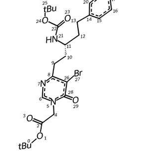 CC(C)(C)OC(=O)Cn1cnc(CC[C@@H](CCc2ccc(F)cc2)NC(=O)OC(C)(C)C)c(Br)c1=O